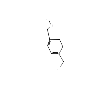 CCC1=CC=C(CNC)CC1